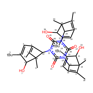 CC1=C2C=C(C(C)(C)C)C(O)C1(C)C2n1c(=O)n(C2C3=C(C)C2(C)C(O)C(C(C)(C)C)=C3)c(=O)n(C2C3=C(C)C2(C)C(O)C(C(C)(C)C)=C3)c1=O